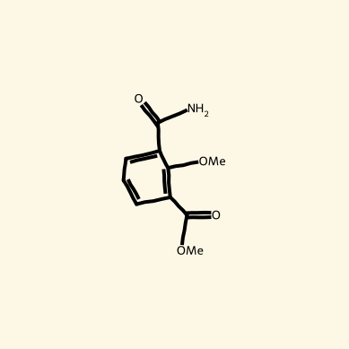 COC(=O)c1cccc(C(N)=O)c1OC